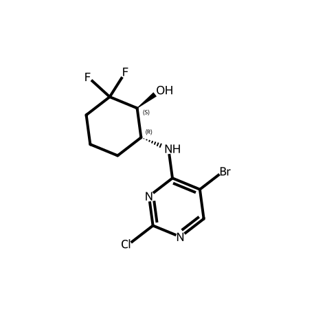 O[C@H]1[C@H](Nc2nc(Cl)ncc2Br)CCCC1(F)F